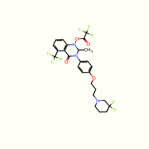 CC1N(OC(=O)C(F)(F)F)c2cccc(C(F)(F)F)c2C(=O)N1c1ccc(OCCCN2CCCC(F)(F)C2)cc1